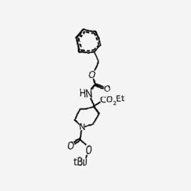 CCOC(=O)C1(NC(=O)OCc2ccccc2)CCN(C(=O)OC(C)(C)C)CC1